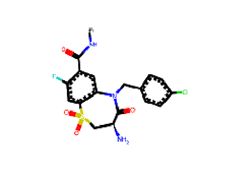 CC(C)NC(=O)c1cc2c(cc1F)S(=O)(=O)C[C@H](N)C(=O)N2Cc1ccc(Cl)cc1